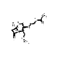 COCC1=C(OCCOC(C)=O)CS[C@@H]2CC(=O)N12